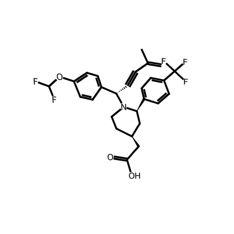 C=C(C)C#C[C@@H](c1ccc(OC(F)F)cc1)N1CC[C@H](CC(=O)O)C[C@@H]1c1ccc(C(F)(F)F)cc1